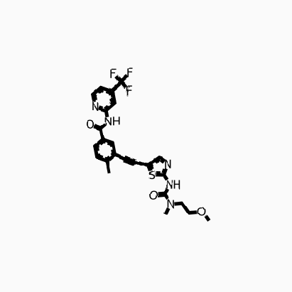 COCCN(C)C(=O)Nc1ncc(C#Cc2cc(C(=O)Nc3cc(C(F)(F)F)ccn3)ccc2C)s1